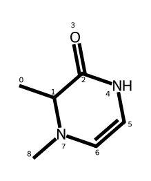 CC1C(=O)NC=CN1C